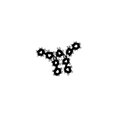 c1ccc(-c2ccc(N(c3ccc(-c4ccccc4)cc3)c3cccc(N(c4ccc(-c5ccccc5)cc4)c4ccc(-c5ccccc5)cc4)c3)cc2)cc1